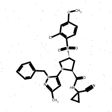 COc1ccc(S(=O)(=O)[C@@H]2C[C@@H](C(=O)NC3(C#N)CC3)N(c3cc(C)nn3Cc3ccccc3)C2)c(Cl)c1